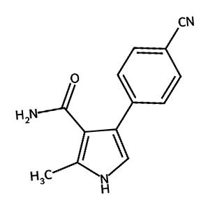 Cc1[nH]cc(-c2ccc(C#N)cc2)c1C(N)=O